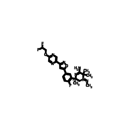 CN=[S@]1C[C@@](C)(c2cc(-c3cc(-c4cnc(OCC(F)F)cn4)no3)ccc2F)N=C(N)C1(C)C